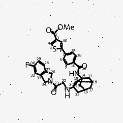 COC(=O)c1csc(-c2ccc(C(=O)NC34CC5CC(CC(NCC(=O)N6Cc7ccc(F)cc7C6)(C5)C3)C4)cc2)c1